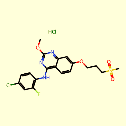 COc1nc(Nc2ccc(Cl)cc2F)c2ccc(OCCCS(C)(=O)=O)cc2n1.Cl